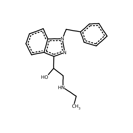 CCNCC(O)c1nn(Cc2ccccc2)c2ccccc12